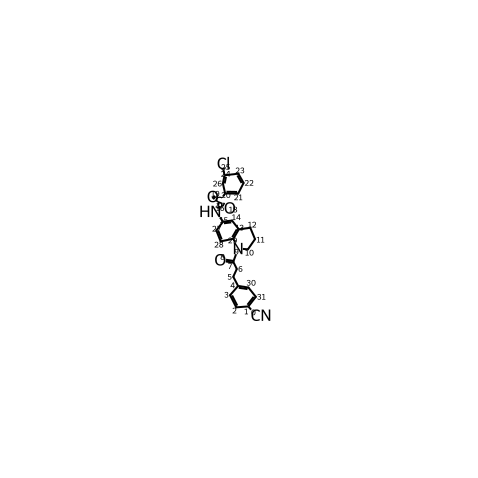 N#Cc1ccc(CCC(=O)N2CCCc3cc(NS(=O)(=O)c4cccc(Cl)c4)ccc32)cc1